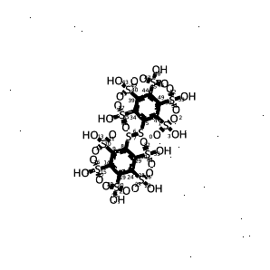 O=S(=O)(O)c1c(SSc2c(S(=O)(=O)O)c(S(=O)(=O)O)c(S(=O)(=O)O)c(S(=O)(=O)O)c2S(=O)(=O)O)c(S(=O)(=O)O)c(S(=O)(=O)O)c(S(=O)(=O)O)c1S(=O)(=O)O